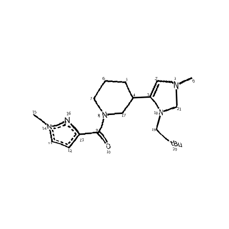 CN1C=C(C2CCCN(C(=O)c3ccn(C)n3)C2)N(CC(C)(C)C)C1